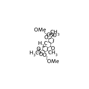 COCCOc1c(S(C)(=O)=O)ccc(C(=O)c2ccc(S(C)(=O)=O)c(OCCOC)c2C)c1C